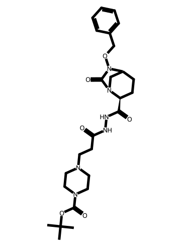 CC(C)(C)OC(=O)N1CCN(CCC(=O)NNC(=O)[C@@H]2CCC3CN2C(=O)N3OCc2ccccc2)CC1